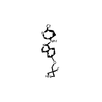 FC1(COc2ccc3c(Nc4ccc(Cl)nc4)nccc3c2)CNC1